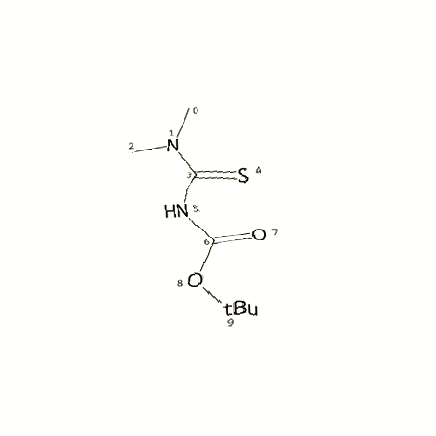 CN(C)C(=S)NC(=O)OC(C)(C)C